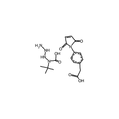 CC(C)(C)N(NNN)C(=O)O.O=C(O)Cc1ccc(N2C(=O)C=CC2=O)cc1